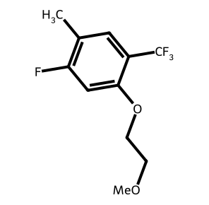 COCCOc1cc(F)c(C)cc1C(F)(F)F